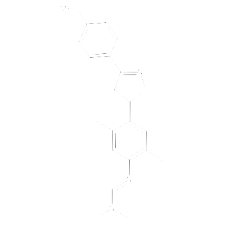 CCN(C)C=Nc1cc(C)c(C2CC(c3ccc(OC)cc3)=NO2)cc1Cl